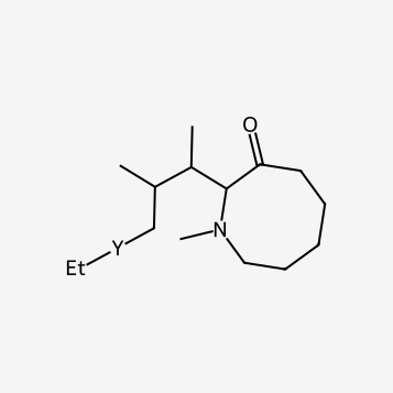 C[CH2][Y][CH2]C(C)C(C)C1C(=O)CCCCCN1C